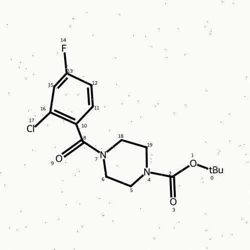 CC(C)(C)OC(=O)N1CCN(C(=O)c2ccc(F)cc2Cl)CC1